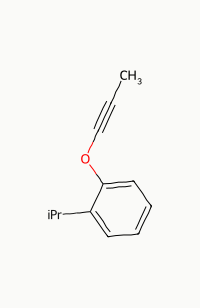 CC#COc1ccccc1C(C)C